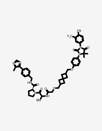 Cc1ncsc1-c1ccc(CNC(=O)[C@@H]2CCCN2C(=O)C(NC(=O)COCC2CC3(C2)CC(COc2ccc(N4C(=S)N(c5ccc(C#N)c(C(F)(F)F)c5)C(=O)C4(C)C)cc2)C3)C(C)(C)C)cc1